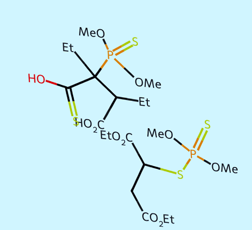 CCC(C(=O)O)C(CC)(C(O)=S)P(=S)(OC)OC.CCOC(=O)CC(SP(=S)(OC)OC)C(=O)OCC